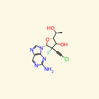 C[C@H](O)[C@H]1O[C@@H](n2cnc3cnc(N)nc32)[C@@](F)(C#CCl)C1O